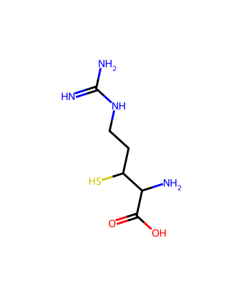 N=C(N)NCCC(S)C(N)C(=O)O